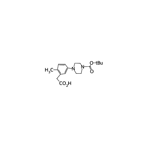 Cc1ccc(N2CCN(C(=O)OC(C)(C)C)CC2)cc1CC(=O)O